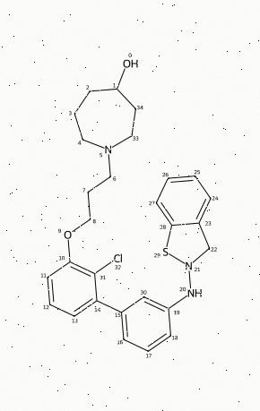 OC1CCCN(CCCOc2cccc(-c3cccc(NN4Cc5ccccc5S4)c3)c2Cl)CC1